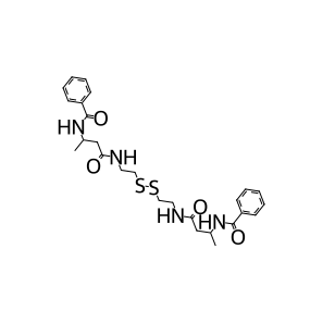 CC(CC(=O)NCCSSCCNC(=O)CC(C)NC(=O)c1ccccc1)NC(=O)c1ccccc1